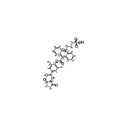 Cc1cc(C(=O)ON2C(=O)CCC2=O)cc(C)c1OC(=O)c1c2ccccc2[n+](CCCS(=O)(=O)O)c2ccccc12